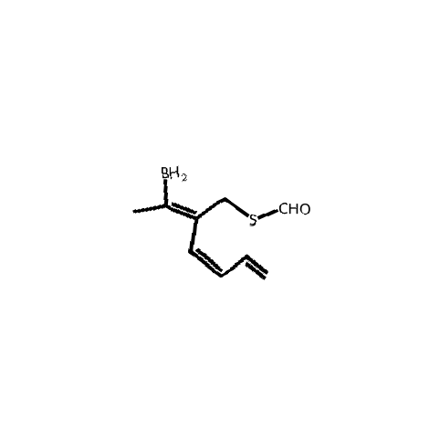 B/C(C)=C(/C=C\C=C)CSC=O